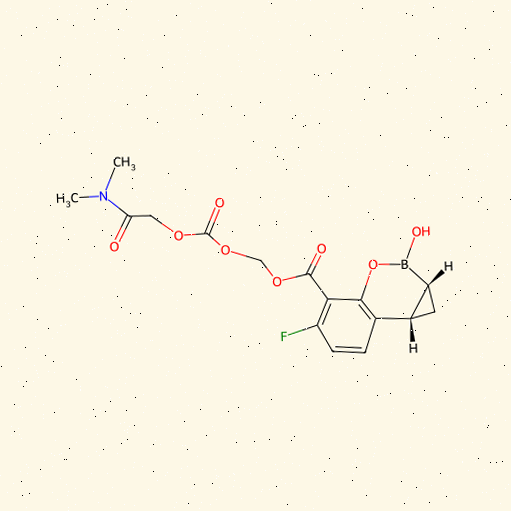 CN(C)C(=O)COC(=O)OCOC(=O)c1c(F)ccc2c1OB(O)[C@@H]1C[C@H]21